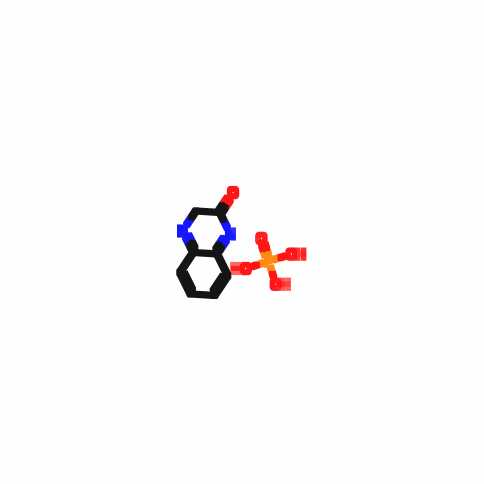 O=C1CN=c2ccccc2=N1.O=P(O)(O)O